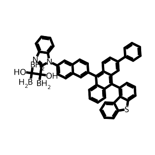 BC(B)(O)C(B)(O)c1nc2ccccc2n1-c1ccc2cc(-c3c4ccccc4c(-c4cccc5sc6ccccc6c45)c4cc(-c5ccccc5)ccc34)ccc2c1